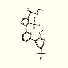 CCOC(=O)c1cnn(-c2cccc(-c3cc(C(F)(F)F)cnc3OC)n2)c1C(F)(F)F